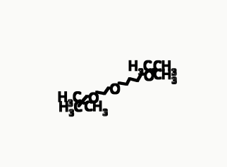 CC(C)(C)COCCCOCCCCCOC(C)(C)C